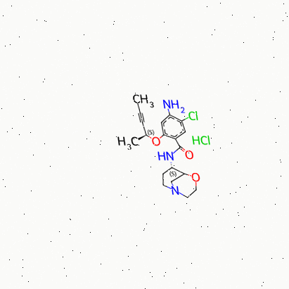 CC#C[C@H](C)Oc1cc(N)c(Cl)cc1C(=O)N[C@H]1CCN2CCOC1C2.Cl